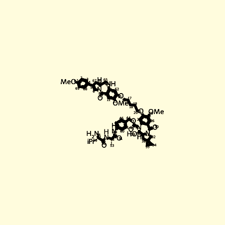 COc1ccc(C2=CN3C(=O)c4cc(OC)c(OCCCCCOc5cc6c(cc5OC)C(=O)N5CC7(CC7)C[C@H]5[C@H](O)N6C(=O)OCc5ccc(NC(=O)[C@H](C)NC(=O)[C@@H](N)C(C)C)cc5)cc4NC[C@@H]3C2)cc1